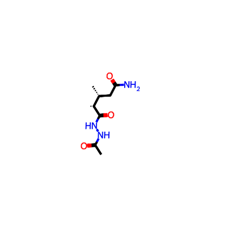 CC(=O)NNC(=O)[CH][C@H](C)CC(N)=O